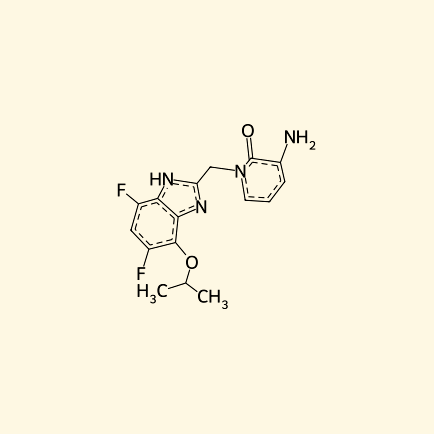 CC(C)Oc1c(F)cc(F)c2[nH]c(Cn3cccc(N)c3=O)nc12